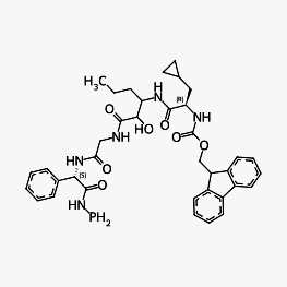 CCCC(NC(=O)[C@@H](CC1CC1)NC(=O)OCC1c2ccccc2-c2ccccc21)C(O)C(=O)NCC(=O)N[C@H](C(=O)NP)c1ccccc1